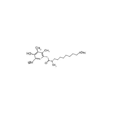 CCCCCCCCCCCCCCCCCCN(C)C(=O)Cc1cc(C(C)(C)C)c(O)c(C)c1C